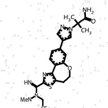 CNN(CC(F)(F)F)C(=N)c1nc2c(s1)CCOc1cc(-c3cnn(C(C)(C)C(N)=O)c3)ccc1-2